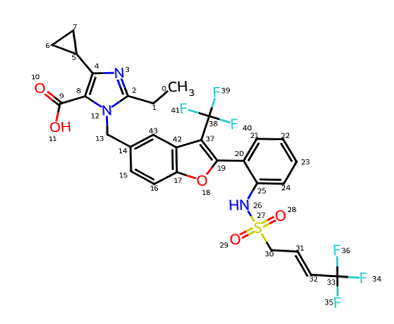 CCc1nc(C2CC2)c(C(=O)O)n1Cc1ccc2oc(-c3ccccc3NS(=O)(=O)CC=CC(F)(F)F)c(C(F)(F)F)c2c1